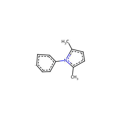 Cc1ccc(C)n1-c1cc[c]cc1